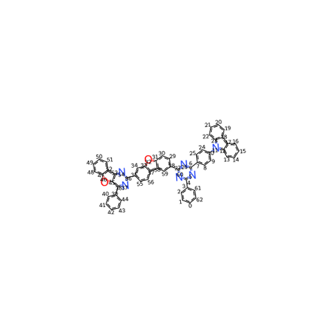 c1ccc(-c2nc(-c3ccc(-n4c5ccccc5c5ccccc54)cc3)nc(-c3ccc4oc5cc(-c6nc(-c7ccccc7)c7oc8ccccc8c7n6)ccc5c4c3)n2)cc1